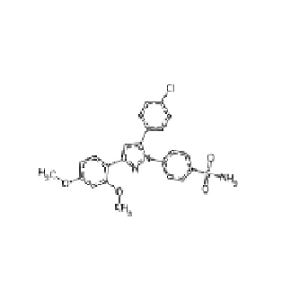 COc1ccc(-c2cc(-c3ccc(Cl)cc3)n(-c3ccc(S(N)(=O)=O)cc3)n2)c(OC)c1